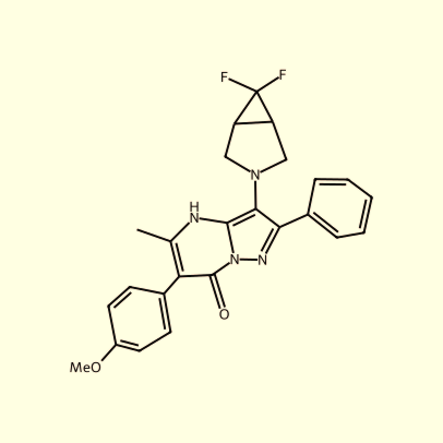 COc1ccc(-c2c(C)[nH]c3c(N4CC5C(C4)C5(F)F)c(-c4ccccc4)nn3c2=O)cc1